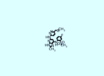 COCc1ccc(Nc2cc(Nc3ccc(F)cc3S(C)(=O)=O)c3nc(C)[nH]c3n2)nn1